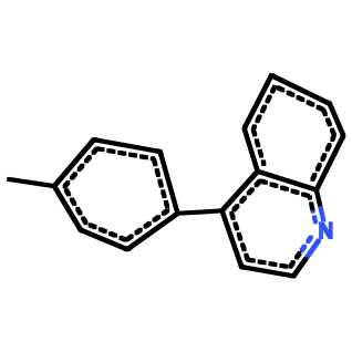 Cc1ccc(-c2ccnc3ccccc23)cc1